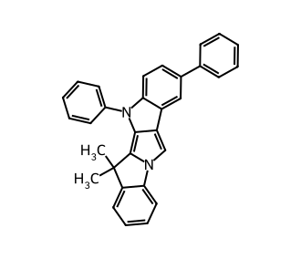 CC1(C)c2ccccc2-n2cc3c4cc(-c5ccccc5)ccc4n(-c4ccccc4)c3c21